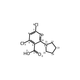 O=C(O)c1c(Cl)cc(Cl)nc1N1CCCC1